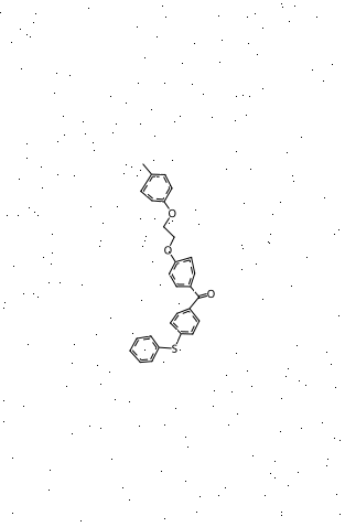 Cc1ccc(OCCOc2ccc(C(=O)c3ccc(Sc4ccccc4)cc3)cc2)cc1